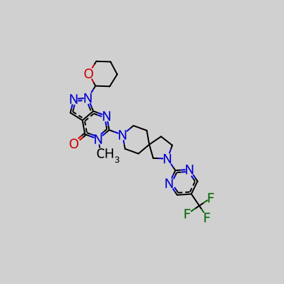 Cn1c(N2CCC3(CCN(c4ncc(C(F)(F)F)cn4)C3)CC2)nc2c(cnn2C2CCCCO2)c1=O